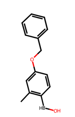 Cc1cc(OCc2ccccc2)ccc1BO